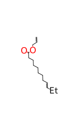 C=CCOC(=O)CCCCCCCC=CCC